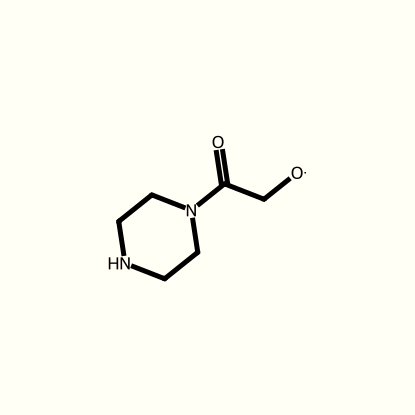 [O]CC(=O)N1CCNCC1